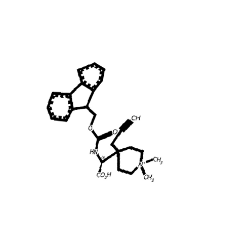 C#CCC1([C@H](NC(=O)OCC2c3ccccc3-c3ccccc32)C(=O)O)CC[N+](C)(C)CC1